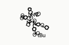 CC(C)(C)OC(=O)c1ccc(CN(C(=O)c2cc(-c3cc4c(cc3C(=O)N3Cc5ccccc5C[C@H]3CN3CCOCC3)OCO4)n3c2CCCC3)c2ccc(OCc3ccccc3)cc2)cc1